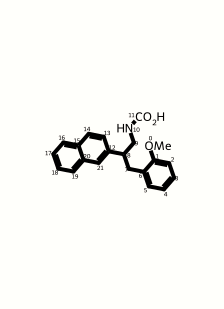 COc1ccccc1CC(CNC(=O)O)c1ccc2ccccc2c1